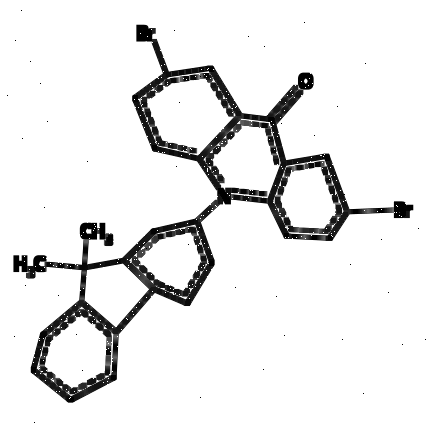 CC1(C)c2ccccc2-c2ccc(-n3c4ccc(Br)cc4c(=O)c4cc(Br)ccc43)cc21